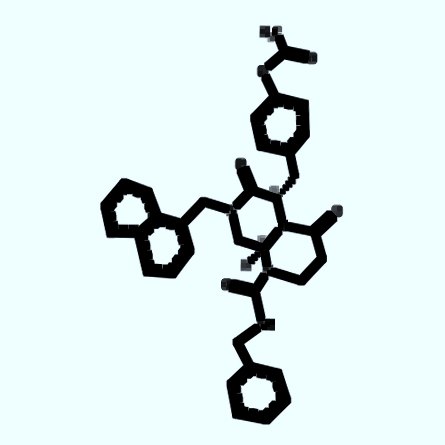 CC(=O)Oc1ccc(C[C@H]2C(=O)N(Cc3cccc4ccccc34)C[C@@H]3N(C(=O)NCc4ccccc4)CCC(=O)N32)cc1